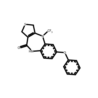 O=C1Nc2ccc(Oc3ccccc3)cc2N(C(F)(F)F)C2=C1CSC2